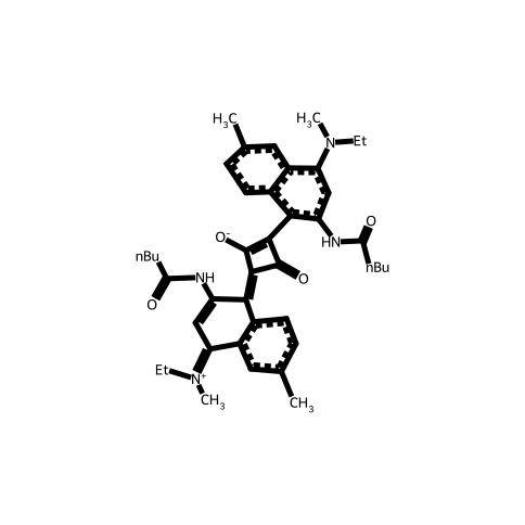 CCCCC(=O)NC1=CC(=[N+](/C)CC)/c2cc(C)ccc2/C1=C1\C(=O)C(c2c(NC(=O)CCCC)cc(N(C)CC)c3cc(C)ccc23)=C1[O-]